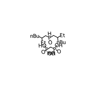 CCCCC(CC)C[PH](=O)CC(CC)CCCC.O=P(O)(O)CP(=O)(O)O